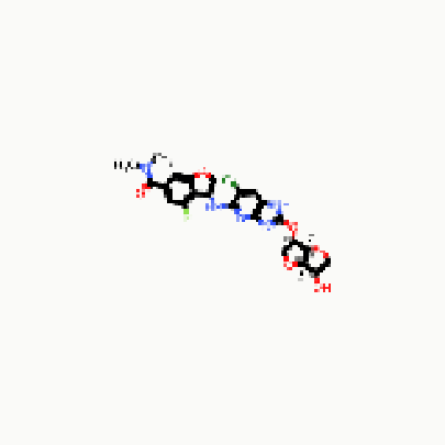 CN(C)C(=O)c1cc(F)c2c(c1)OC[C@H]2Nc1nc2nc(O[C@@H]3CO[C@H]4[C@@H]3OC[C@H]4O)[nH]c2cc1Cl